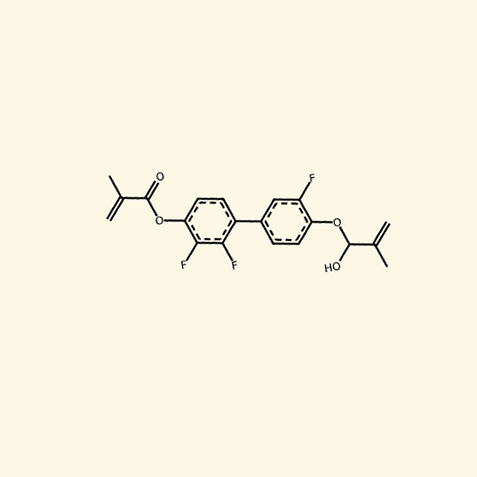 C=C(C)C(=O)Oc1ccc(-c2ccc(OC(O)C(=C)C)c(F)c2)c(F)c1F